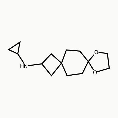 C1COC2(CCC3(CC2)CC(NC2CC2)C3)O1